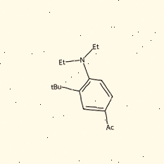 CCN(CC)c1ccc(C(C)=O)cc1C(C)(C)C